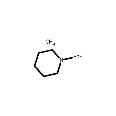 C.CCCN1CCCCC1